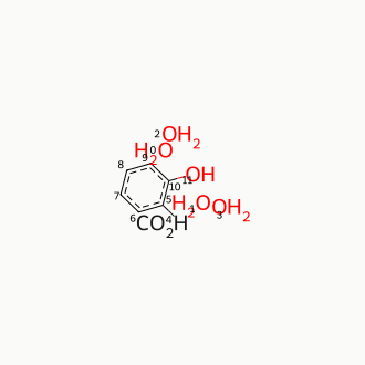 O.O.O.O.O=C(O)c1ccccc1O